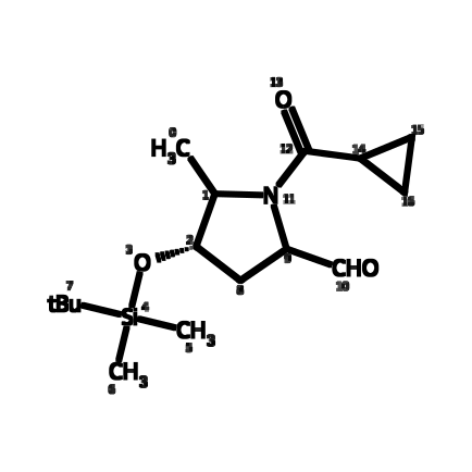 CC1[C@@H](O[Si](C)(C)C(C)(C)C)CC(C=O)N1C(=O)C1CC1